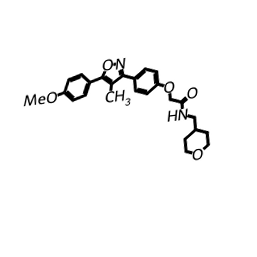 COc1ccc(-c2onc(-c3ccc(OCC(=O)NCC4CCOCC4)cc3)c2C)cc1